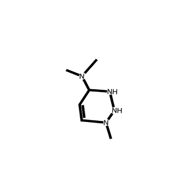 CN1C=CC(N(C)C)NN1